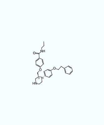 CCCNC(=O)c1ccc(OC[C@@H]2CNCC[C@H]2c2ccc(OCCc3ccccc3)cc2)cc1